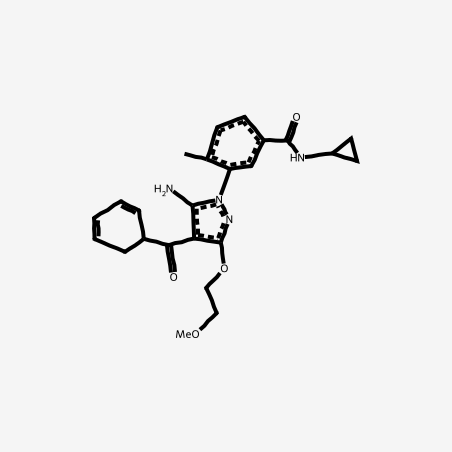 COCCOc1nn(-c2cc(C(=O)NC3CC3)ccc2C)c(N)c1C(=O)C1C=CC=CC1